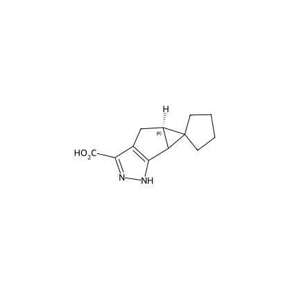 O=C(O)c1n[nH]c2c1C[C@@H]1C2C12CCCC2